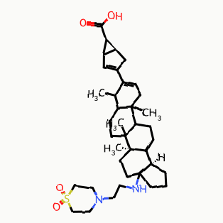 CC1C(C2=CC3C(C2)C3C(=O)O)=CCC2(C)C1CCC1(C)C2CCC2[C@H]3CCCC3(NCCN3CCS(=O)(=O)CC3)CC[C@]21C